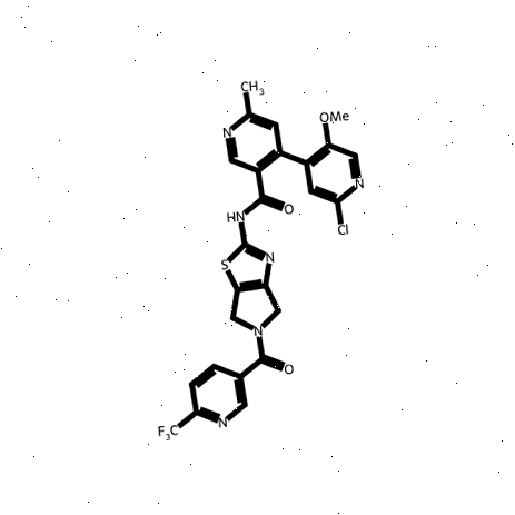 COc1cnc(Cl)cc1-c1cc(C)ncc1C(=O)Nc1nc2c(s1)CN(C(=O)c1ccc(C(F)(F)F)nc1)C2